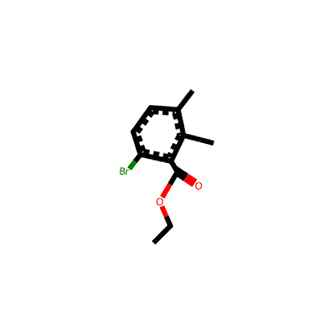 CCOC(=O)c1c(Br)ccc(C)c1C